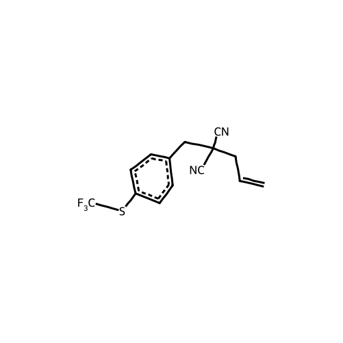 C=CCC(C#N)(C#N)Cc1ccc(SC(F)(F)F)cc1